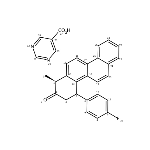 C[C@@H]1C(=O)CC(c2ccc(F)cc2)c2c1ccc1c2ccc2ccccc21.O=C(O)c1cncnc1